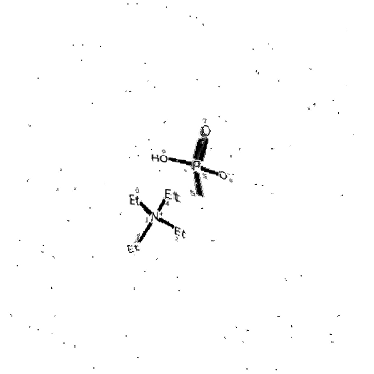 CC[N+](CC)(CC)CC.CP(=O)([O-])O